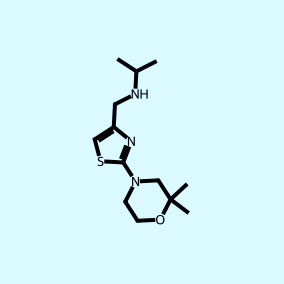 CC(C)NCc1csc(N2CCOC(C)(C)C2)n1